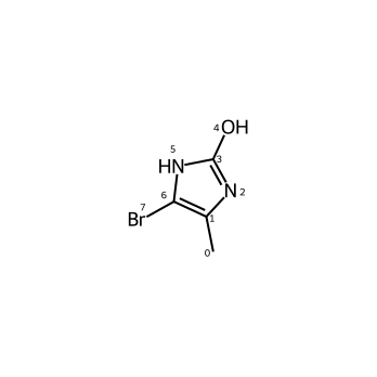 Cc1nc(O)[nH]c1Br